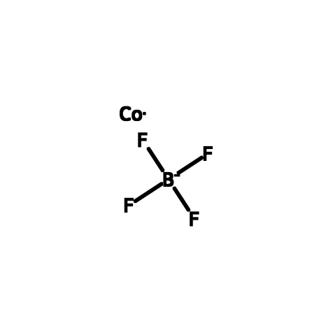 F[B-](F)(F)F.[Co]